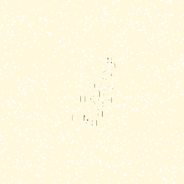 CN(C)[C@H]1CC[C@@]2(C)[C@@H](CC[C@@H]3[C@@H]2CC[C@]2(C)C(c4ccc5cnccc5c4)=CC[C@@H]32)C1